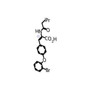 CC(C)CC(=O)N/C(=C/c1ccc(Oc2ccccc2Br)cc1)C(=O)O